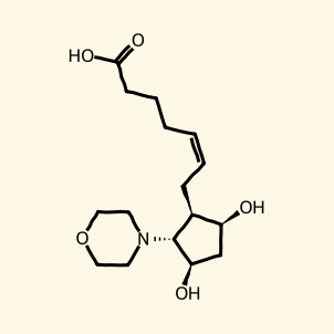 O=C(O)CCC/C=C\C[C@@H]1[C@@H](N2CCOCC2)[C@H](O)C[C@@H]1O